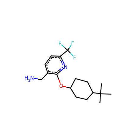 CC(C)(C)C1CCC(Oc2nc(C(F)(F)F)ccc2CN)CC1